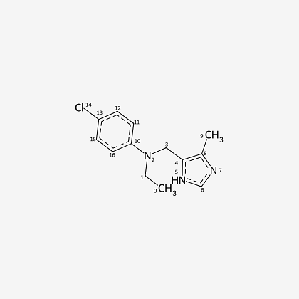 CCN(Cc1[nH]cnc1C)c1ccc(Cl)cc1